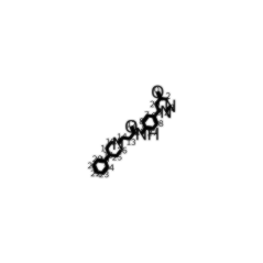 O=C1C=NN=C(c2ccc(NC(=O)CCN3CCC(c4ccccc4)CC3)cc2)C1